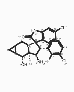 N[C@H]1[C@H]2[C@H](O)C3CC3CN2[C@]2(C(=O)Nc3cc(Cl)ccc32)[C@@H]1c1cccc(Cl)c1F